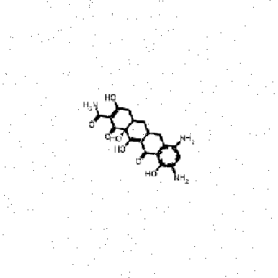 NC(=O)C1=C(O)CC2CC3Cc4c(N)cc(N)c(O)c4C(=O)C3=C(O)[C@]2(O)C1=O